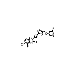 NC(=O)C(Oc1ccc(Cl)c(F)c1)C12CC(c3nnc(COc4cncc(F)c4)o3)(C1)C2